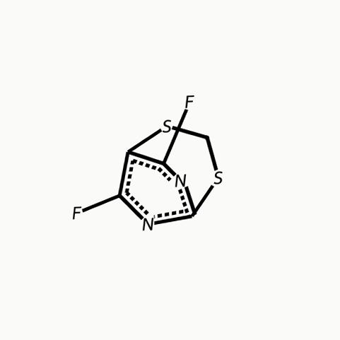 Fc1nc2nc(F)c1SCS2